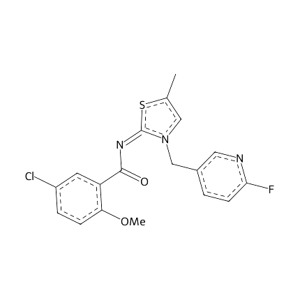 COc1ccc(Cl)cc1C(=O)N=c1sc(C)cn1Cc1ccc(F)nc1